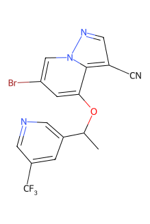 CC(Oc1cc(Br)cn2ncc(C#N)c12)c1cncc(C(F)(F)F)c1